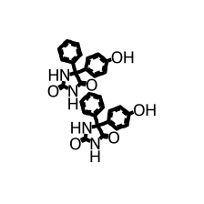 O=C1NC(=O)C(c2ccccc2)(c2ccc(O)cc2)N1.O=C1NC(=O)C(c2ccccc2)(c2ccc(O)cc2)N1